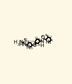 Cc1cccnc1C(=O)Nc1cccc(Oc2ccc(NC(N)=S)nc2)c1